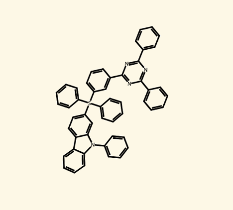 c1ccc(-c2nc(-c3ccccc3)nc(-c3cccc(S(c4ccccc4)(c4ccccc4)c4ccc5c6ccccc6n(-c6ccccc6)c5c4)c3)n2)cc1